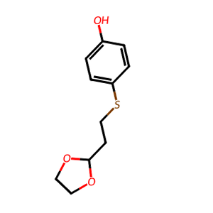 Oc1ccc(SCCC2OCCO2)cc1